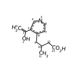 C=C(O)c1cnccc1CC(C)CC(=O)O